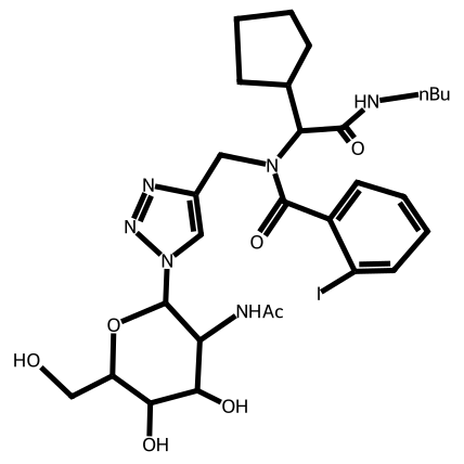 CCCCNC(=O)C(C1CCCC1)N(Cc1cn(C2OC(CO)C(O)C(O)C2NC(C)=O)nn1)C(=O)c1ccccc1I